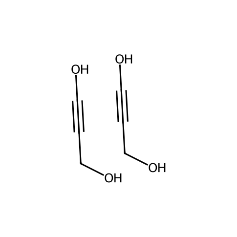 OC#CCO.OC#CCO